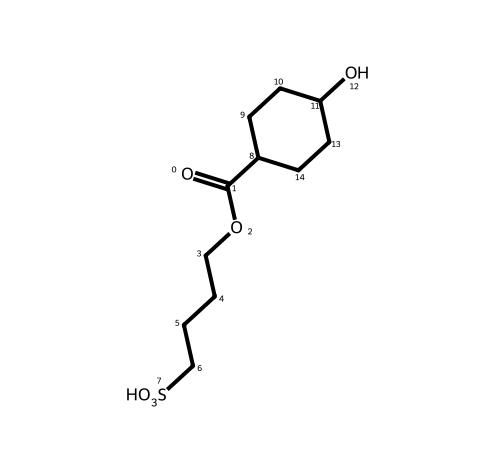 O=C(OCCCCS(=O)(=O)O)C1CCC(O)CC1